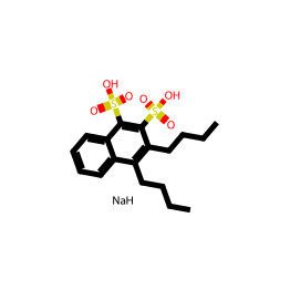 CCCCc1c(S(=O)(=O)O)c(S(=O)(=O)O)c2ccccc2c1CCCC.[NaH]